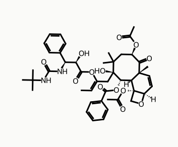 C/C=C(/C[C@@]1(O)[C@@H](OC(=O)c2ccccc2)[C@@H]2[C@]3(OC(C)=O)CO[C@@H]3C=C[C@@]2(C)C(=O)[C@H](OC(C)=O)CC1(C)C)OC(=O)[C@H](O)[C@@H](NC(=O)NC(C)(C)C)c1ccccc1